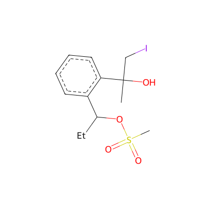 CCC(OS(C)(=O)=O)c1ccccc1C(C)(O)CI